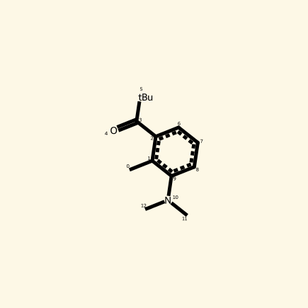 Cc1c(C(=O)C(C)(C)C)cccc1N(C)C